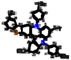 CC(C)c1cc2c3c(c1)N(c1ccc(C(C)(C)C)cc1)c1cc4c(cc1B3c1cc(C(C)(C)C)ccc1N2c1ccc(C(C)(C)C)cc1)sc1ccc(C(C)(C)C)cc14